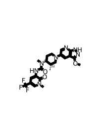 COc1n[nH]c2ncc(N3CC[C@@H](N(C)C(=O)Nc4cc(C(F)(F)F)cn(C)c4=O)[C@@H](C)C3)cc12